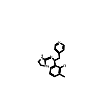 Cc1cccc(C(Cc2ccncc2)N=C2NCCN2)c1Cl